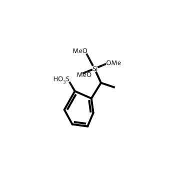 CO[Si](OC)(OC)C(C)c1ccccc1S(=O)(=O)O